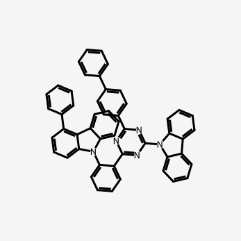 c1ccc(-c2ccc(-c3nc(-c4ccccc4-n4c5ccccc5c5c(-c6ccccc6)cccc54)nc(-n4c5ccccc5c5ccccc54)n3)cc2)cc1